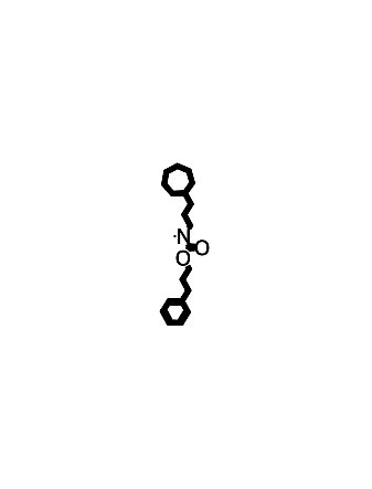 O=C([N]CCCC1CCCCCC1)OCCCc1ccccc1